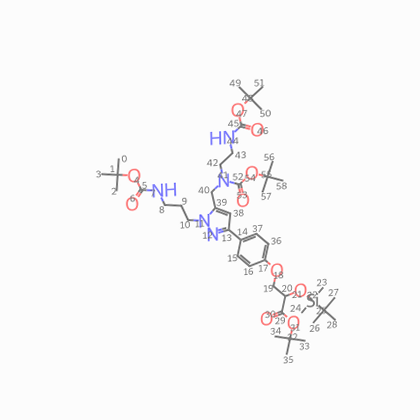 CC(C)(C)OC(=O)NCCCn1nc(-c2ccc(OCC(O[Si](C)(C)C(C)(C)C)C(=O)OC(C)(C)C)cc2)cc1CN(CCNC(=O)OC(C)(C)C)C(=O)OC(C)(C)C